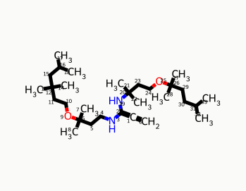 C=C=C(NCCC(C)(C)OCCC(C)(C)CC(C)C)NC(C)(C)CCOC(C)(C)CCC(C)C